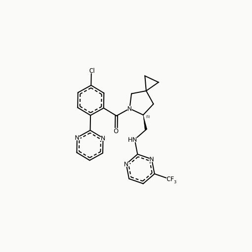 O=C(c1cc(Cl)ccc1-c1ncccn1)N1CC2(CC2)C[C@H]1CNc1nccc(C(F)(F)F)n1